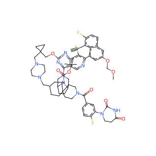 C#Cc1c(F)ccc2cc(OCOC)cc(-c3ncc4c(N5CC6CCC(C5)N6C(=O)OC(C)(C)C)nc(OCC5(CN6CCN(CC7CCC8(CC7)CCN(C(=O)c7ccc(F)c(N9CCC(=O)NC9=O)c7)CC8)CC6)CC5)nc4c3F)c12